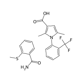 CSc1ccccc1C(N)=O.Cc1cc(C(=O)O)c(C)n1-c1ccccc1C(F)(F)F